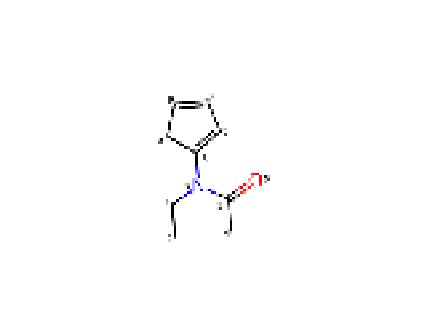 CCN(C(C)=O)C1=CC=CC1